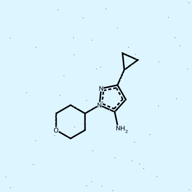 Nc1cc(C2CC2)nn1C1CCOCC1